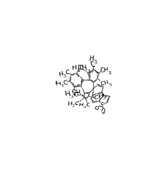 Cc1c(C)c(C)c2c(c1C)-c1c(C)c(C)c(C)c(C)c1C1(C=Cc3c1ccc1c3C=CS1(=O)=O)c1c(C)c(C)c(C)c(C)c1-2